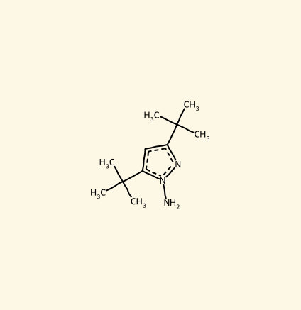 CC(C)(C)c1cc(C(C)(C)C)n(N)n1